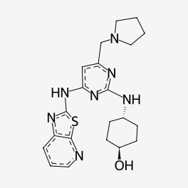 O[C@H]1CC[C@H](Nc2nc(CN3CCCC3)cc(Nc3nc4cccnc4s3)n2)CC1